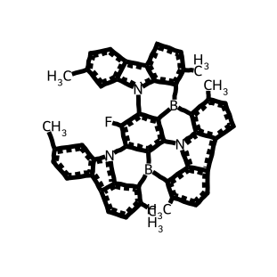 Cc1ccc2c3ccc(C)c4c3n(c2c1)-c1c(F)c2c3c5c1B4c1c(C)ccc4c6ccc(C)c(c6n-5c14)B3c1c(C)ccc3c4ccc(C)cc4n-2c13